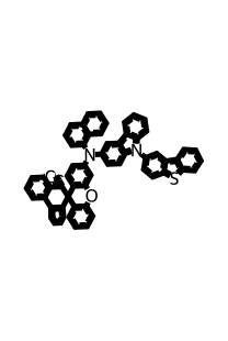 c1ccc2c(c1)Oc1cc(N(c3ccc4c(c3)c3ccccc3n4-c3ccc4sc5ccccc5c4c3)c3cccc4ccccc34)ccc1C21c2ccccc2-c2cccc3cccc1c23